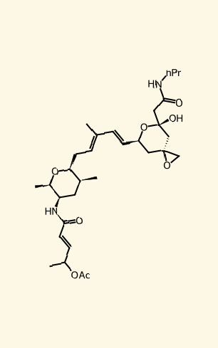 CCCNC(=O)C[C@]1(O)C[C@@]2(CO2)C[C@@H](C=CC(C)=CC[C@@H]2O[C@H](C)[C@H](NC(=O)C=CC(C)OC(C)=O)C[C@@H]2C)O1